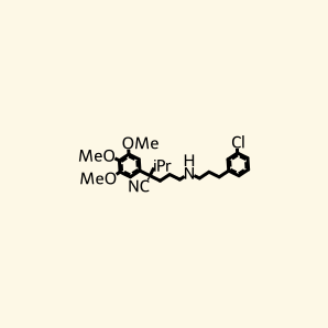 COc1cc([C@](C#N)(CCCNCCCc2cccc(Cl)c2)C(C)C)cc(OC)c1OC